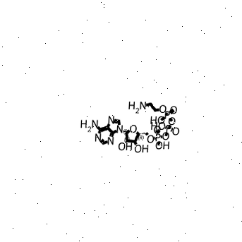 NCCOP(=O)(O)OP(=O)(O)OP(=O)(O)OC[C@H]1O[C@@H](n2cnc3c(N)ncnc32)[C@@H](O)C1O